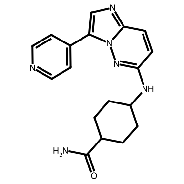 NC(=O)C1CCC(Nc2ccc3ncc(-c4ccncc4)n3n2)CC1